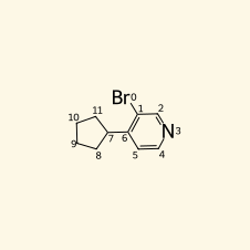 Brc1cnccc1C1CCCC1